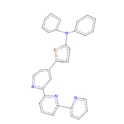 c1ccc(N(c2ccccc2)c2ccc(-c3ccnc(-c4cccc(-c5ccccn5)n4)c3)s2)cc1